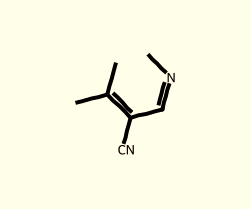 C/N=C\C(C#N)=C(C)C